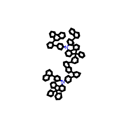 c1ccc(C2(c3ccccc3)c3ccccc3-c3c(N(c4ccc(-c5ccccc5-c5ccc6cccc(-c7cccc(C8(c9ccccc9)c9ccccc9-c9c(N(c%10ccc(-c%11ccccc%11-c%11cc%12ccccc%12c%12ccccc%11%12)cc%10)c%10ccc(-c%11cccc%12ccccc%11%12)cc%10)cccc98)c7)c6c5)cc4)c4ccc(-c5cccc6ccccc56)cc4)cccc32)cc1